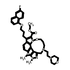 CCOC(=O)c1c(CCCOc2cccc3cc(F)ccc23)c2ccc(Cl)c3c2n1CCCCN(CCN1CCOCC1)Cc1nn(C)c(CC)c1-3